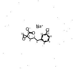 O=C([O-])C1(CCCc2cccc(Cl)c2)CO1.[Na+]